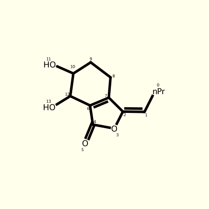 CCC/C=C1/OC(=O)C2=C1CCC(O)C2O